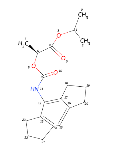 CC(C)OC(=O)[C@H](C)OC(=O)Nc1c2c(cc3c1CCC3)CCC2